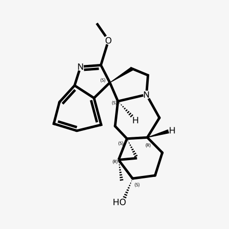 COC1=Nc2ccccc2[C@]12CCN1C[C@@H]3CC[C@H](O)[C@]4(C)C[C@]34C[C@H]12